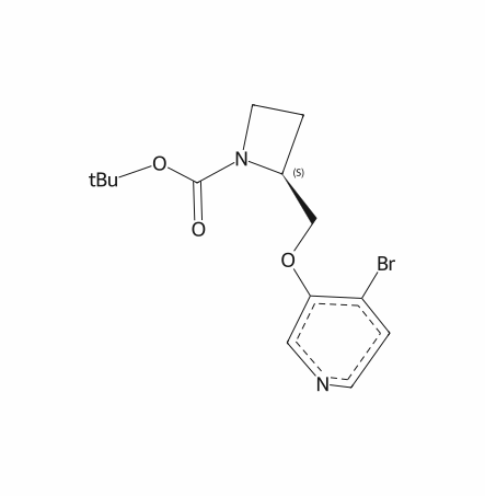 CC(C)(C)OC(=O)N1CC[C@H]1COc1cnccc1Br